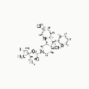 CC(C)(C)OC(=O)N1CCC(O)(C(c2ccccc2)c2ccc(Cl)cn2)CC1